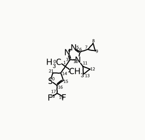 CC(C)(c1nnc(C2CC2)n1C1CC1)C1C=C(C(F)F)SC1